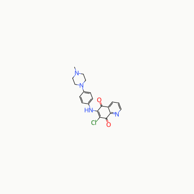 CN1CCN(c2ccc(NC3=C(Cl)C(=O)c4ncccc4C3=O)cc2)CC1